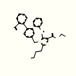 CCCCc1nc(C(=O)OCC)c(S(=O)(=O)c2ccccc2)n1Cc1ccc(-c2ccccc2C(=O)OC)cc1